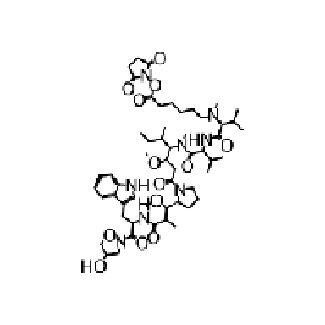 CCC(C)C(C(CC(=O)N1CCC[C@H]1C(OC)C(C)C(=O)NC(Cc1c[nH]c2ccccc12)C(=O)N1CC(O)CO1)OC)N(C)C(=O)C(NC(=O)C(C(C)C)N(C)CCCCCC(=O)ON1C(=O)CCC1=O)C(C)C